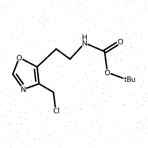 CC(C)(C)OC(=O)NCCc1ocnc1CCl